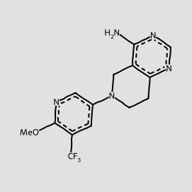 COc1ncc(N2CCc3ncnc(N)c3C2)cc1C(F)(F)F